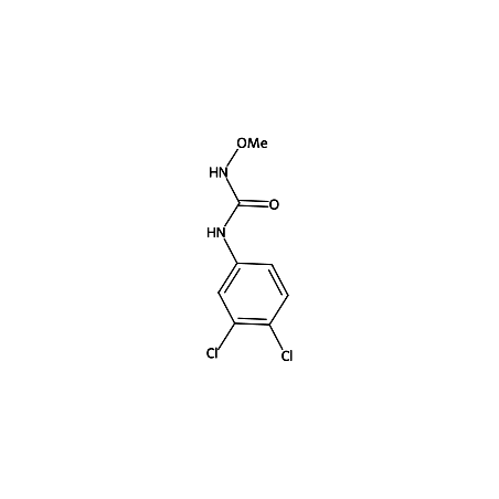 CONC(=O)Nc1ccc(Cl)c(Cl)c1